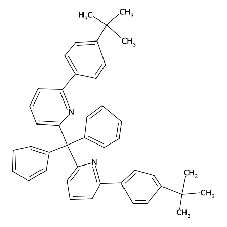 CC(C)(C)c1ccc(-c2cccc(C(c3ccccc3)(c3ccccc3)c3cccc(-c4ccc(C(C)(C)C)cc4)n3)n2)cc1